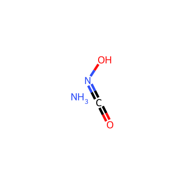 N.O=C=NO